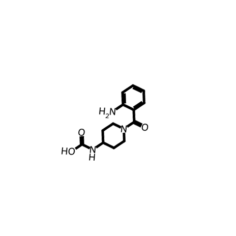 Nc1ccccc1C(=O)N1CCC(NC(=O)O)CC1